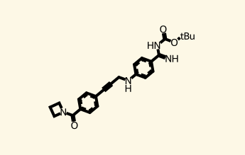 CC(C)(C)OC(=O)NC(=N)c1ccc(NCC#Cc2ccc(C(=O)N3CCC3)cc2)cc1